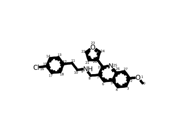 COc1ccc2cc(CNCCc3ccc(Cl)cc3)c(-c3ccoc3)nc2c1